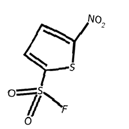 O=[N+]([O-])c1ccc(S(=O)(=O)F)s1